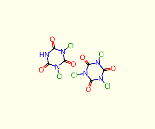 O=c1[nH]c(=O)n(Cl)c(=O)n1Cl.O=c1n(Cl)c(=O)n(Cl)c(=O)n1Cl